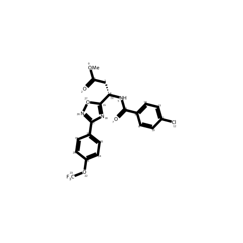 COC(=O)C[C@H](NC(=O)c1ccc(Cl)cc1)c1nc(-c2ccc(OC(F)(F)F)cc2)no1